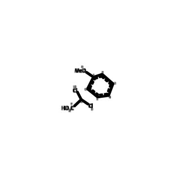 COc1ccccc1.O=C(O)C(Cl)Cl